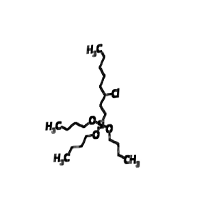 CCCCCC(Cl)CC[Si](OCCCC)(OCCCC)OCCCC